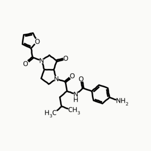 CC(C)CC(NC(=O)c1ccc(N)cc1)C(=O)N1CCC2C1C(=O)CN2C(=O)c1ccco1